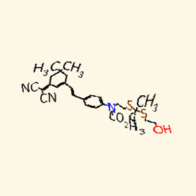 CC1(C)CC(/C=C/c2ccc(N(CCSC(C)(C)SCCO)C(=O)O)cc2)=CC(=C(C#N)C#N)C1